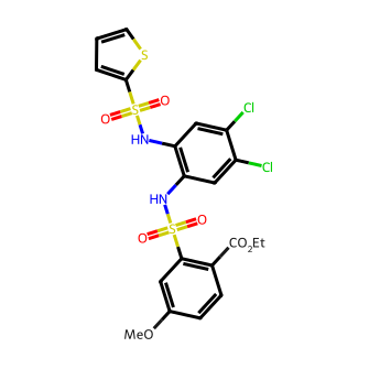 CCOC(=O)c1ccc(OC)cc1S(=O)(=O)Nc1cc(Cl)c(Cl)cc1NS(=O)(=O)c1cccs1